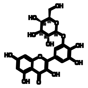 O=c1c(O)c(-c2cc(O)c(O)c(O[C@@H]3O[C@H](CO)[C@@H](O)[C@H](O)[C@H]3O)c2)oc2cc(O)cc(O)c12